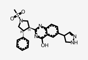 CS(=O)(=O)N1C[C@@H](c2ccccc2)[C@H](c2nc(O)c3cc(C4C=NNC4)ccc3n2)C1